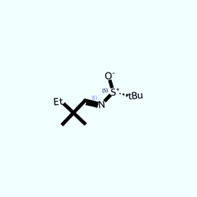 CCC(C)(C)/C=N/[S@+]([O-])C(C)(C)C